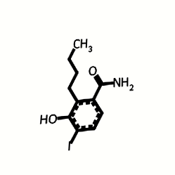 CCCCc1c(C(N)=O)ccc(I)c1O